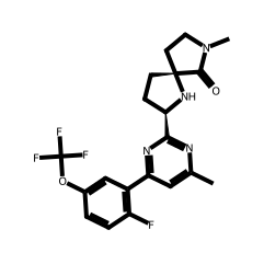 Cc1cc(-c2cc(OC(F)(F)F)ccc2F)nc([C@H]2CC[C@]3(CCN(C)C3=O)N2)n1